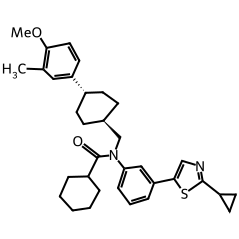 COc1ccc([C@H]2CC[C@H](CN(C(=O)C3CCCCC3)c3cccc(-c4cnc(C5CC5)s4)c3)CC2)cc1C